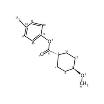 CO[C@H]1CC[C@H](C(=O)Oc2ccc(I)cc2)CC1